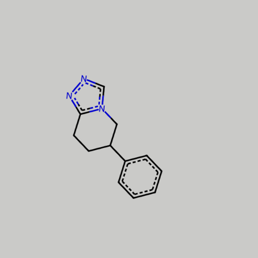 c1ccc(C2CCc3nncn3C2)cc1